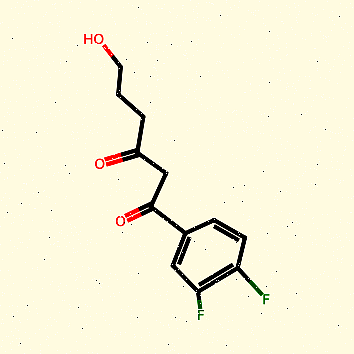 O=C(CCCO)CC(=O)c1ccc(F)c(F)c1